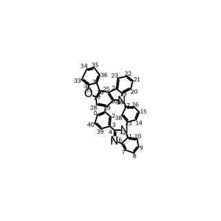 c1ccc(-c2nc3ccccc3n2-c2cccc(-n3c4ccccc4c4c5c(ccc43)oc3ccccc35)c2)cc1